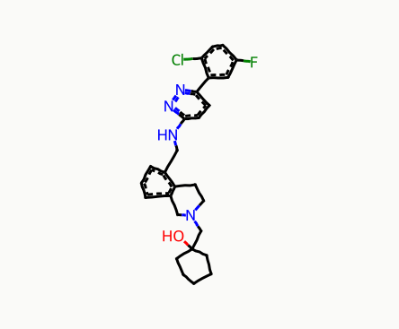 OC1(CN2CCc3c(CNc4ccc(-c5cc(F)ccc5Cl)nn4)cccc3C2)CCCCC1